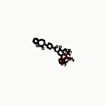 CCN(CCN(C)C1CN2CCC1CC2)C(=O)[C@H](CC(=O)N1CCC(N2CCc3ccccc3NC2=O)CC1)Cc1cc(C(F)(F)F)c(N)c(C(F)(F)F)c1